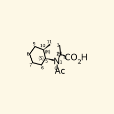 CC(=O)N([C@@H](C)C(=O)O)[C@H]1CCCC[C@H]1C